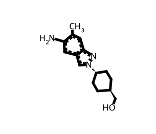 Cc1cc2nn([C@H]3CC[C@H](CO)CC3)cc2cc1N